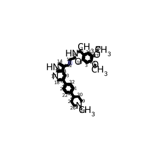 COc1ccc([C@@H](C)NC(=O)/C=C/c2c[nH]c3ncc(-c4ccc(C5CCN(C)CC5)cc4)cc23)cc1OC